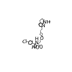 O=C(N[C@@H](CCOC1CC(CCc2ccc3c(n2)NCCC3)C1)C(=O)O)c1ccc(Cl)cc1